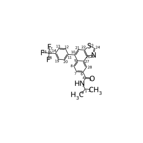 CC(C)NC(=O)c1ccc2c(-c3ccc(C(F)(F)F)cc3)cc3scnc3c2c1